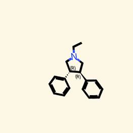 CCN1C[C@@H](c2ccccc2)[C@H](c2ccccc2)C1